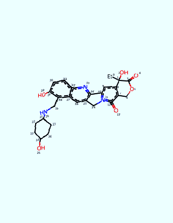 CCC1(O)C(=O)OCc2c1cc1n(c2=O)Cc2cc3c(CNC4CCC(O)CC4)c(O)ccc3nc2-1